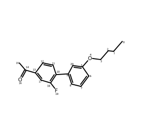 CCCCOc1cccc(-c2ccc(C(C)=O)cc2F)c1